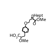 CCCCCCCN(CCOc1ccc(CC(OC)C(=O)O)cc1)C(=O)OC